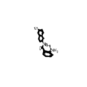 CCc1ccc2cc(NC(=O)c3ccccc3N)ccc2c1